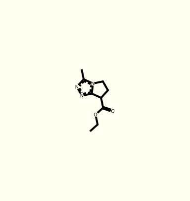 CCOC(=O)C1CCn2c(C)nnc21